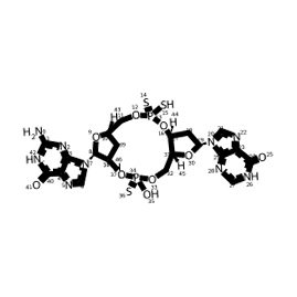 Nc1nc2c(ncn2[C@@H]2O[C@@H]3COP(=S)(S)O[C@H]4C[C@H](n5cnc6c(=O)[nH]cnc65)O[C@@H]4COP(O)(=S)O[C@@H]2C3)c(=O)[nH]1